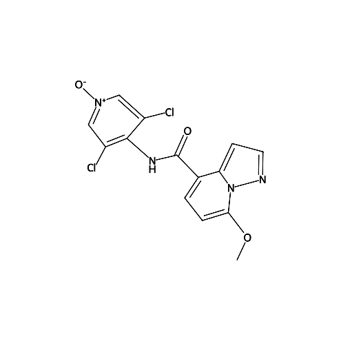 COc1ccc(C(=O)Nc2c(Cl)c[n+]([O-])cc2Cl)c2ccnn12